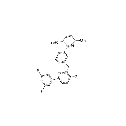 CC1=NN(c2cccc(Cn3nc(-c4cc(F)cc(F)c4)ccc3=O)c2)C(C=O)C=C1